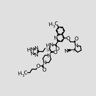 CCCCOC(=O)N1CCN(C(=O)[C@H](CCc2nn[nH]n2)NC(=O)c2cc(OCC(=O)N3CCC[C@H]3C#N)c3ccc(C)cc3n2)CC1